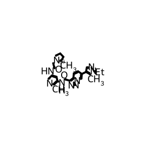 CCn1ncc(-c2ccc3c(C(=O)Nc4cc(NC(=O)CN5CCC[C@@H]5C)cnc4C)nnn3c2)c1C